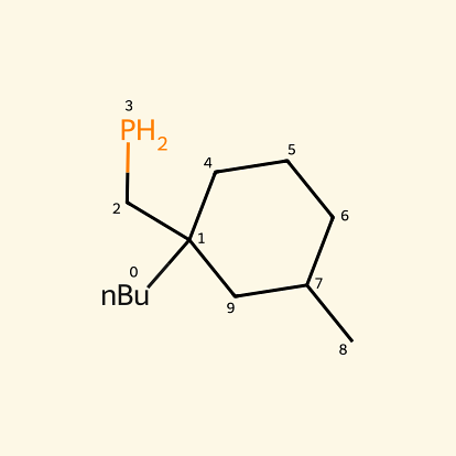 CCCCC1(CP)CCCC(C)C1